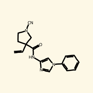 C=CC1(C(=O)Nc2cn(-c3ccccc3)cn2)CCN(C#N)C1